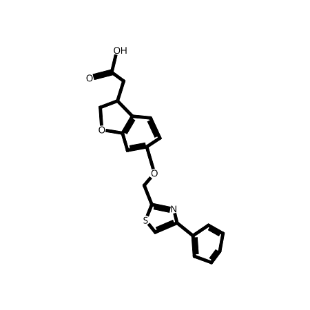 O=C(O)CC1COc2cc(OCc3nc(-c4ccccc4)cs3)ccc21